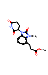 Cn1c(=O)n(C2CCC(=O)NC2=O)c2cccc(CCC(=O)OC(C)(C)C)c21